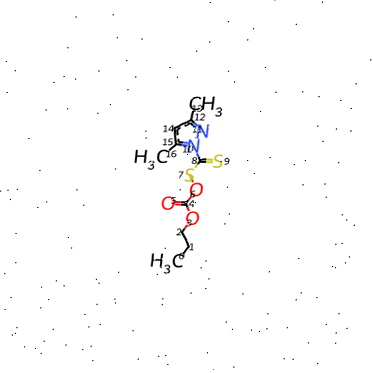 CCCOC(=O)OSC(=S)n1nc(C)cc1C